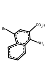 Nc1c(C(=O)O)cc(Br)c2ccccc12